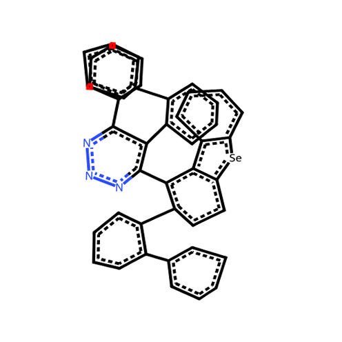 c1ccc(-c2ccccc2-c2ccc3[se]c4ccccc4c3c2-c2nnnc(-c3ccccc3)c2-c2ccccc2-c2ccccc2)cc1